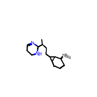 CCCCC1CCCC2C(CCC(C)C3N=CCCN3)C12